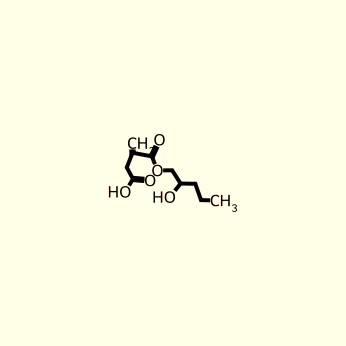 C=C(CC(=O)O)C(=O)OCC(O)CCC